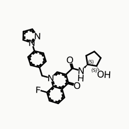 O=C(N[C@H]1CCC[C@@H]1O)c1cn(Cc2ccc(-n3cccn3)cc2)c2c(F)cccc2c1=O